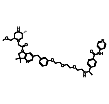 COC[C@H]1CN[C@H](C)CN1CC(=O)N1CC(C)(C)c2ncc(Cc3cccc(OCCOCCOCCN[C@H](C)c4ccc(C(=O)Nc5ccncc5)cc4)c3)cc21